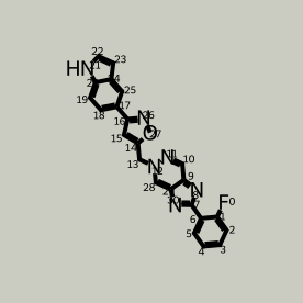 Fc1ccccc1-c1nc2cnn(Cc3cc(-c4ccc5[nH]ccc5c4)no3)cc-2n1